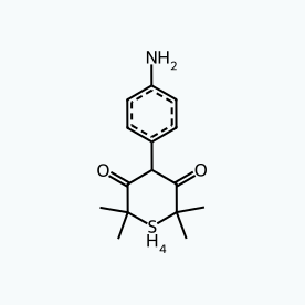 CC1(C)[SH4]C(C)(C)C(=O)C(c2ccc(N)cc2)C1=O